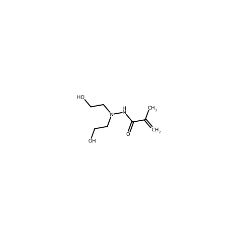 C=C(C)C(=O)NN(CCO)CCO